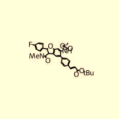 CNC(=O)C1c2cc(-c3ccc(/C=C/C(=O)OC(C)(C)C)cc3)c(NS(C)(=O)=O)cc2OC1c1ccc(F)cc1